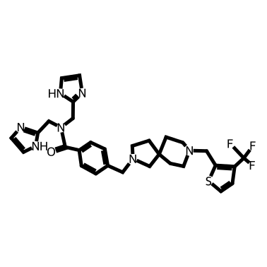 O=C(c1ccc(CN2CCC3(CCN(Cc4sccc4C(F)(F)F)CC3)C2)cc1)N(Cc1ncc[nH]1)Cc1ncc[nH]1